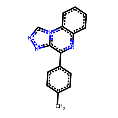 Cc1ccc(-c2nc3ccccc3n3cnnc23)cc1